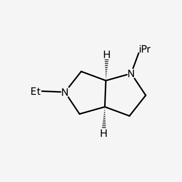 CCN1C[C@@H]2CCN(C(C)C)[C@@H]2C1